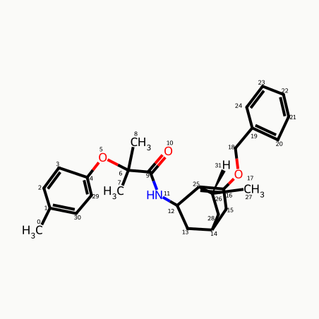 Cc1ccc(OC(C)(C)C(=O)NC2CC3CC(OCc4ccccc4)=C2[C@H](C)C3)cc1